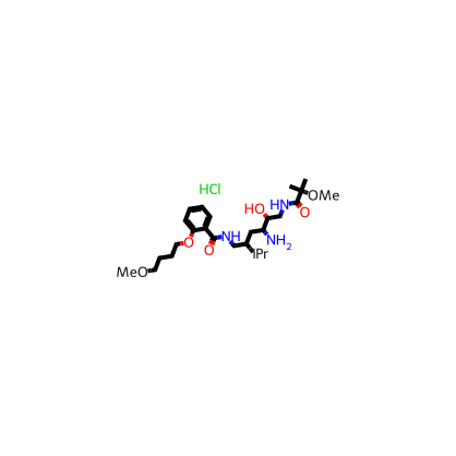 COCCCCOc1ccccc1C(=O)NCC(CC(N)C(O)CNC(=O)C(C)(C)OC)C(C)C.Cl